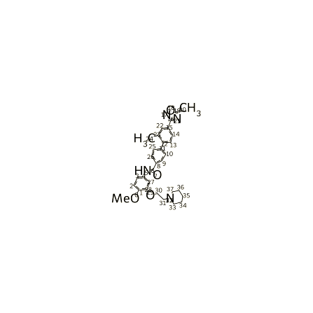 COc1ccc(NC(=O)c2ccc(-c3ccc(-c4noc(C)n4)cc3C)cc2)cc1OCCN1CCCCC1